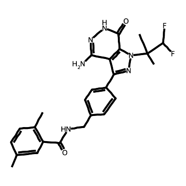 Cc1ccc(C)c(C(=O)NCc2ccc(-c3nn(C(C)(C)C(F)F)c4c(=O)[nH]nc(N)c34)cc2)c1